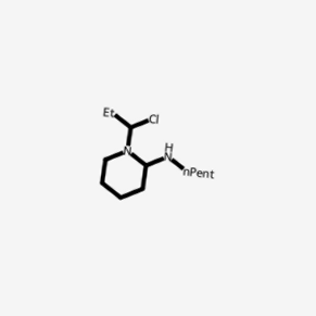 CCCCCNC1CCCCN1C(Cl)CC